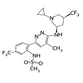 Cc1cc(-c2ccc(C(F)(F)F)cc2NS(C)(=O)=O)nnc1N[C@@H]1C[C@H](C(F)(F)F)CN(C2CC2)C1